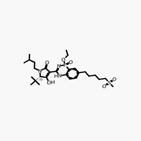 CCOP1(=O)N=C(C2=C(O)[C@H](C(C)(C)C)N(CCC(C)C)C2=O)Nc2ccc(CCCCCS(C)(=O)=O)cc21